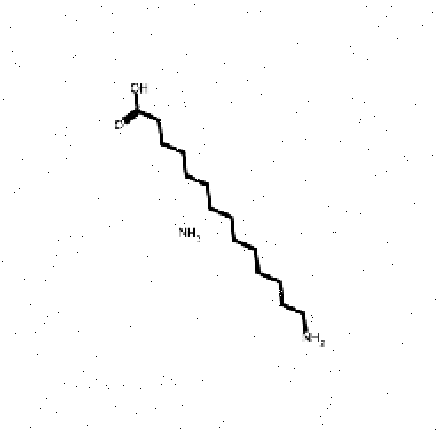 N.NCCCCCCCCCCCCCC(=O)O